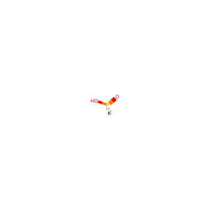 O=[PH2]O.[K]